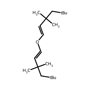 CC(C)(C)CC(C)(C)C=COC=CC(C)(C)CC(C)(C)C